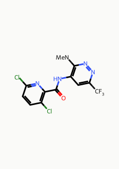 CNc1nnc(C(F)(F)F)cc1NC(=O)c1nc(Cl)ccc1Cl